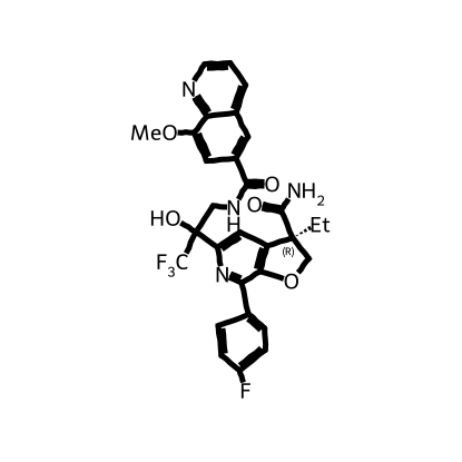 CC[C@]1(C(N)=O)COc2c1cc(C(O)(CNC(=O)c1cc(OC)c3ncccc3c1)C(F)(F)F)nc2-c1ccc(F)cc1